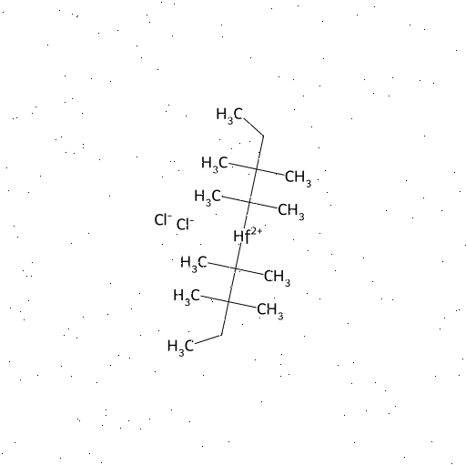 CCC(C)(C)[C](C)(C)[Hf+2][C](C)(C)C(C)(C)CC.[Cl-].[Cl-]